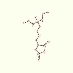 CCO[Si](C)(CCCCC1CC(=O)OC1=O)OCC